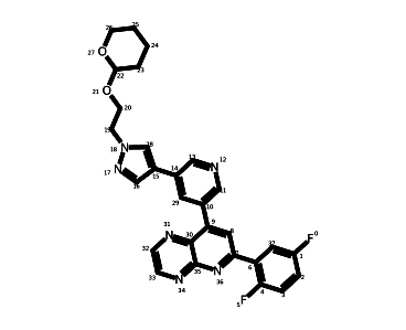 Fc1ccc(F)c(-c2cc(-c3cncc(-c4cnn(CCOC5CCCCO5)c4)c3)c3nccnc3n2)c1